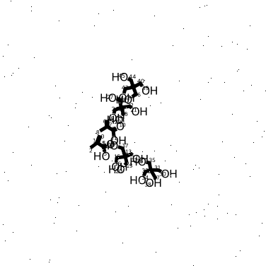 C=C(C)C(=O)O.C=C(C)C(=O)O.OCC(CO)(CO)CO.OCC(CO)(CO)CO.OCC(CO)(CO)CO.OCC(CO)(CO)CO